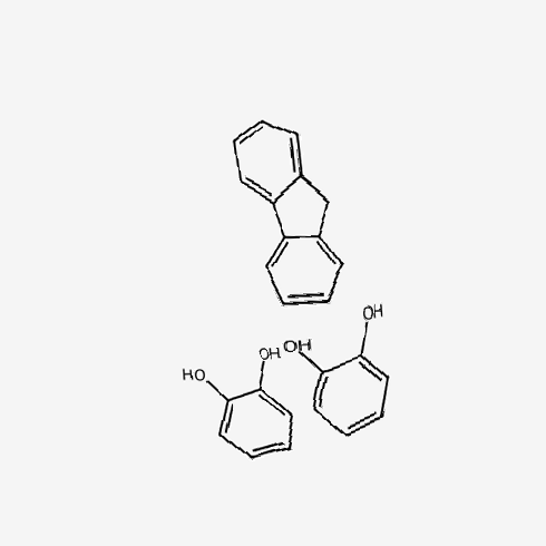 Oc1ccccc1O.Oc1ccccc1O.c1ccc2c(c1)Cc1ccccc1-2